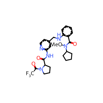 CON(C(=O)c1ccccc1NCc1ccnc(NC(=O)C2CCCN2C(=O)C(F)(F)F)c1)C1CCCC1